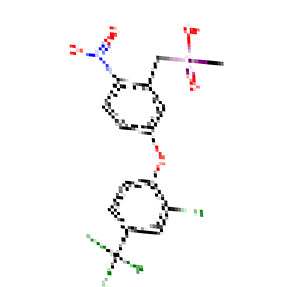 CP(=O)(O)Cc1cc(Oc2ccc(C(F)(F)F)cc2Cl)ccc1[N+](=O)[O-]